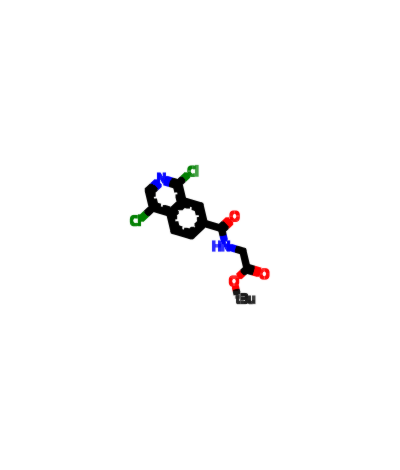 CC(C)(C)OC(=O)CNC(=O)c1ccc2c(Cl)cnc(Cl)c2c1